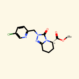 CC(C)(C)OC(=O)[C@@H]1CCCc2nn(Cc3ccc(Cl)cn3)c(=O)n21